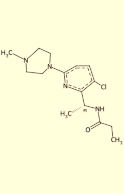 CCC(=O)N[C@H](C)c1nc(N2CCN(C)CC2)ccc1Cl